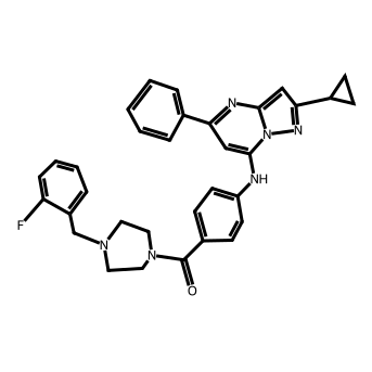 O=C(c1ccc(Nc2cc(-c3ccccc3)nc3cc(C4CC4)nn23)cc1)N1CCN(Cc2ccccc2F)CC1